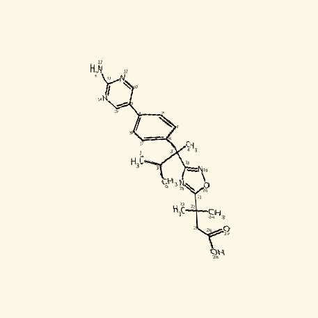 CC(C)C(C)(c1ccc(-c2cnc(N)nc2)cc1)c1noc(C(C)(C)CC(=O)O)n1